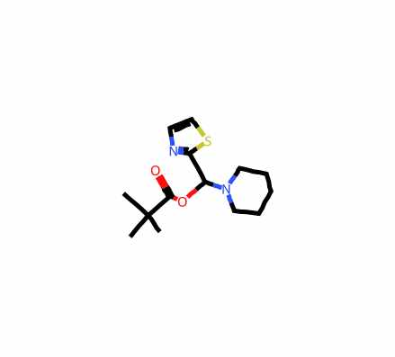 CC(C)(C)C(=O)OC(c1nccs1)N1CCCCC1